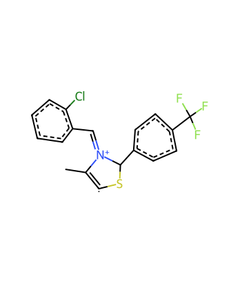 CC1=[C]SC(c2ccc(C(F)(F)F)cc2)[N+]1=Cc1ccccc1Cl